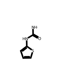 [NH]C(=O)Nc1cccs1